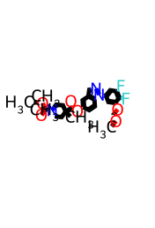 COCOc1cc(-n2ncc3cc(OC(=O)C4(C)CCN(C(=O)OC(C)(C)C)CC4)ccc32)cc(F)c1F